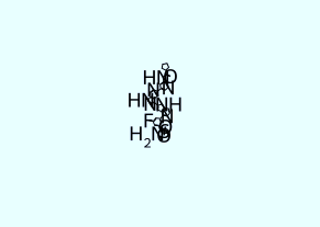 CS(=O)(=O)C(N)c1cc(F)cc(-c2nccc3[nH]c(-c4n[nH]c5cnc(-c6cncc(NC(=O)C7CCCC7)c6)cc45)cc23)c1